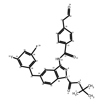 CC(C)(C)OC(=O)n1nc(NC(=O)c2ccc(CC=O)cc2)c2cc(Cc3cc(F)cc(F)c3)ccc21